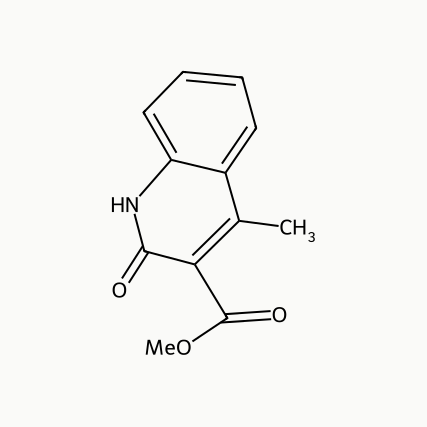 COC(=O)c1c(C)c2ccccc2[nH]c1=O